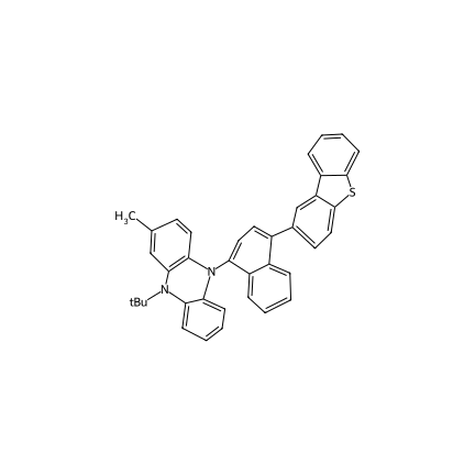 Cc1ccc2c(c1)N(C(C)(C)C)c1ccccc1N2c1ccc(-c2ccc3sc4ccccc4c3c2)c2ccccc12